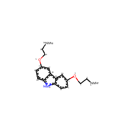 CNCCOc1ccc2[nH]c3ccc(OCCNC)cc3c2c1